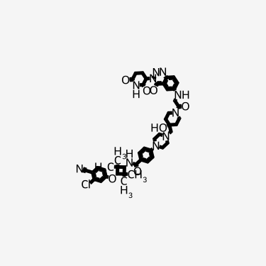 CC1(C)[C@H](NC(=O)c2ccc(N3CCN(CC4(O)CCN(C(=O)CNc5ccc6nnn(C7CCC(=O)NC7=O)c(=O)c6c5)CC4)CC3)cc2)C(C)(C)[C@H]1Oc1ccc(C#N)c(Cl)c1